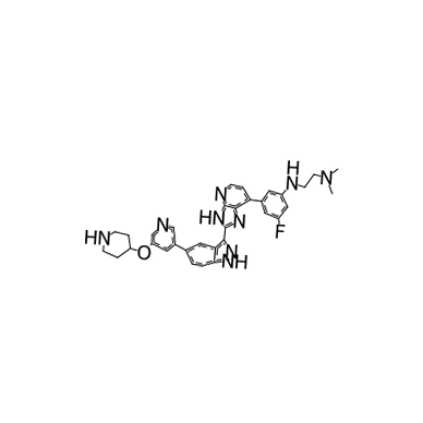 CN(C)CCNc1cc(F)cc(-c2ccnc3[nH]c(-c4n[nH]c5ccc(-c6cncc(OC7CCNCC7)c6)cc45)nc23)c1